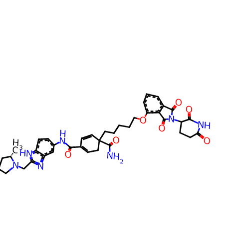 C[C@H]1CCCN1Cc1nc2cc(NC(=O)C3=CCC(CCCCCOc4cccc5c4C(=O)N(C4CCC(=O)NC4=O)C5=O)(C(N)=O)C=C3)ccc2[nH]1